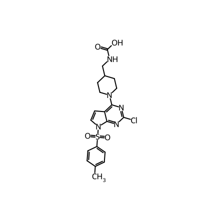 Cc1ccc(S(=O)(=O)n2ccc3c(N4CCC(CNC(=O)O)CC4)nc(Cl)nc32)cc1